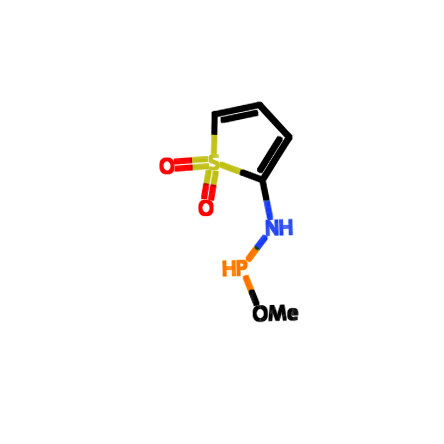 COPNC1=CC=CS1(=O)=O